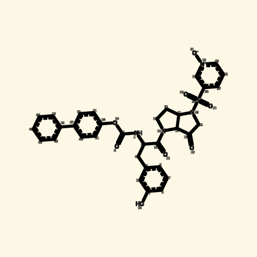 O=C(NC(Cc1cccc(O)c1)C(=O)N1CCC2C1C(=O)CN2S(=O)(=O)c1ccc[n+]([O-])c1)Oc1ccc(-c2ccccc2)cc1